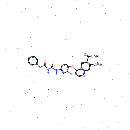 COC(=O)c1cc2c(Oc3ccc(NC(=S)NC(=O)Cc4ccccc4)cc3F)ccnc2cc1OC